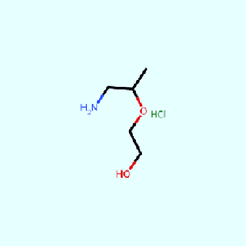 CC(CN)OCCO.Cl